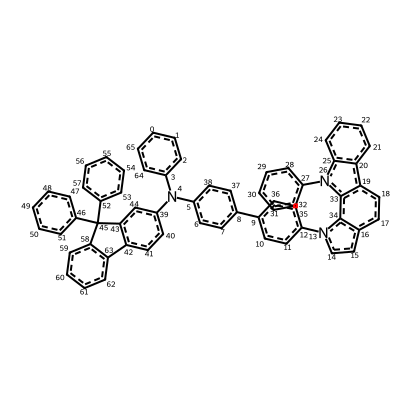 c1ccc(N(c2ccc(-c3ccc(-n4ccc5ccc6c7ccccc7n(-c7ccccc7)c6c54)cc3)cc2)c2ccc3c(c2)C(c2ccccc2)(c2ccccc2)c2ccccc2-3)cc1